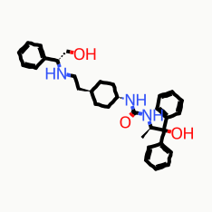 C[C@@H](NC(=O)N[C@H]1CC[C@H](CCN[C@@H](CO)c2ccccc2)CC1)C(O)(c1ccccc1)c1ccccc1